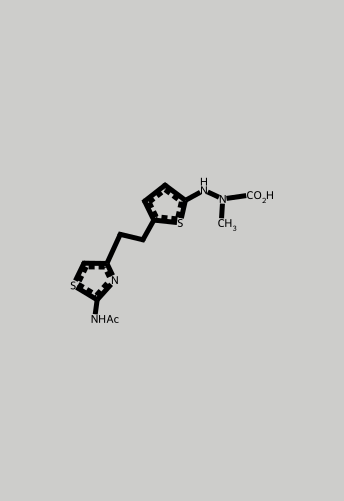 CC(=O)Nc1nc(CCc2ccc(NN(C)C(=O)O)s2)cs1